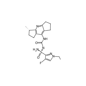 CCn1cc(F)c([S@](N)(=O)=NC(=O)Nc2c3c(nc4c2CC[C@@H]4C)CCC3)n1